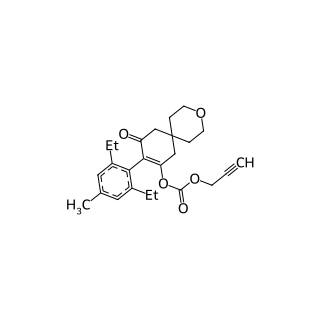 C#CCOC(=O)OC1=C(c2c(CC)cc(C)cc2CC)C(=O)CC2(CCOCC2)C1